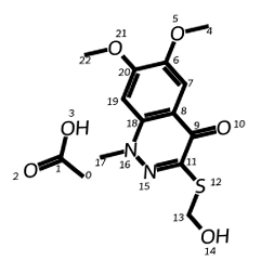 CC(=O)O.COc1cc2c(=O)c(SCO)nn(C)c2cc1OC